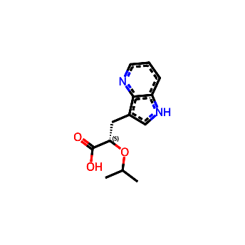 CC(C)O[C@@H](Cc1c[nH]c2cccnc12)C(=O)O